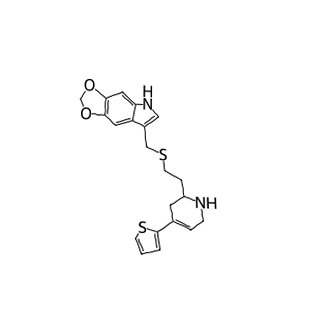 C1=C(c2cccs2)CC(CCSCc2c[nH]c3cc4c(cc23)OCO4)NC1